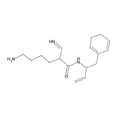 C=CC(CC1=CCCC=C1)NC(=O)C(C=N)CCCCN